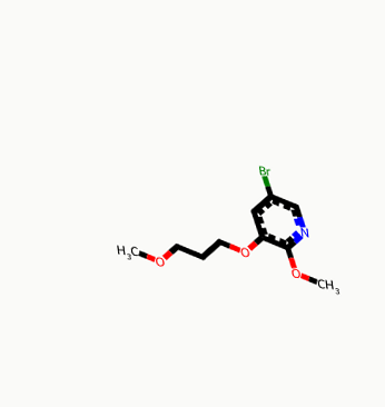 COCCCOc1cc(Br)cnc1OC